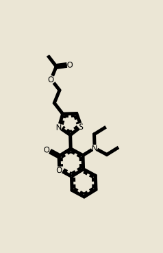 CCN(CC)c1c(-c2nc(CCOC(C)=O)cs2)c(=O)oc2ccccc12